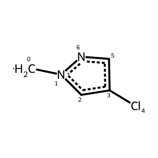 [CH2]n1cc(Cl)cn1